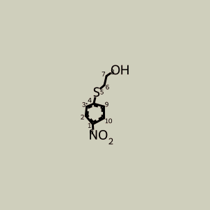 O=[N+]([O-])c1c[c]c(SCCO)cc1